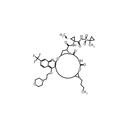 C=C[C@@H]1C[C@]1(NC(=O)C1CC2CN1C(=O)CNC(=O)OC1C(CCCC)C1CCCCCc1c(nc3cc(C(F)(F)F)ccc3c1OCCN1CCOCC1)O2)C(=O)NS(=O)(=O)C1(C)CC1